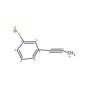 CC#Cc1cccc(Br)c1